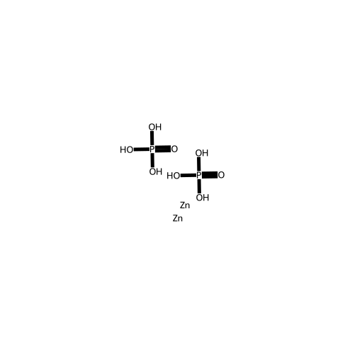 O=P(O)(O)O.O=P(O)(O)O.[Zn].[Zn]